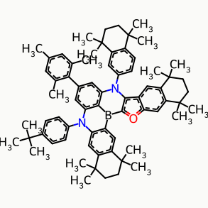 Cc1cc(C)c(-c2cc3c4c(c2)N(c2ccc5c(c2)C(C)(C)CCC5(C)C)c2c(oc5cc6c(cc25)C(C)(C)CCC6(C)C)B4c2cc4c(cc2N3c2ccc(C(C)(C)C)cc2)C(C)(C)CCC4(C)C)c(C)c1